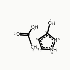 CC(=O)O.Oc1cc[nH]n1